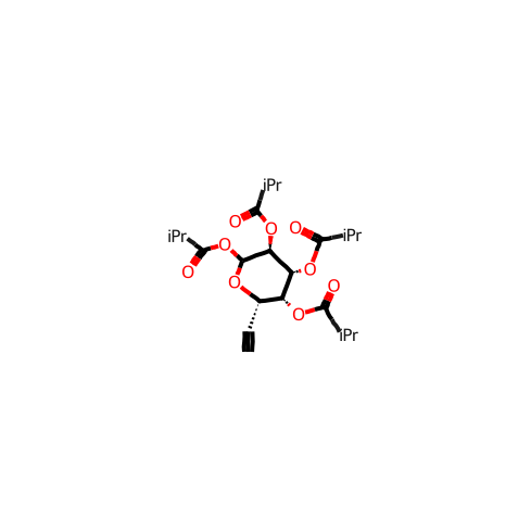 C#C[C@@H]1OC(OC(=O)C(C)C)[C@@H](OC(=O)C(C)C)[C@H](OC(=O)C(C)C)[C@@H]1OC(=O)C(C)C